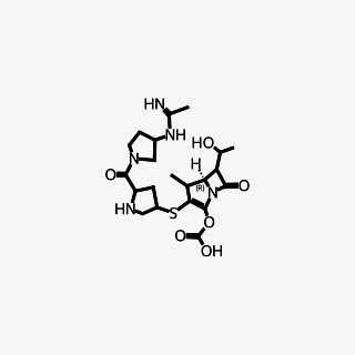 CC(=N)NC1CCN(C(=O)C2CC(SC3=C(OC(=O)O)N4C(=O)C(C(C)O)[C@@H]4C3C)CN2)C1